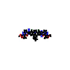 COC(=O)NC(C(=O)N1CCC[C@H]1c1nc2ccc([C@H]3CC[C@H](c4ccc5[nH]c([C@@H]6CCCN6C(=O)[C@@H](NC(=O)OC)C(C)C)nc5c4F)N3c3ccc(C(C)(C)C)cc3)c(F)c2[nH]1)C(C)C